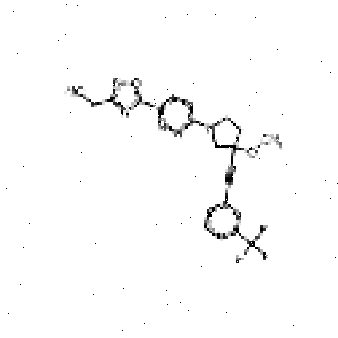 COC1(C#Cc2cccc(C(F)(F)F)c2)CCN(c2ccc(-c3nc(CO)no3)nn2)C1